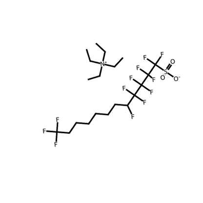 CC[N+](CC)(CC)CC.O=S(=O)([O-])C(F)(F)C(F)(F)C(F)(F)C(F)(F)C(F)CCCCCCC(F)(F)F